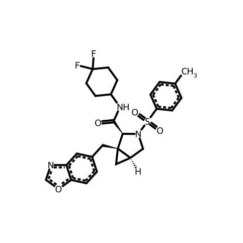 Cc1ccc(S(=O)(=O)N2C[C@H]3C[C@]3(Cc3ccc4ocnc4c3)[C@H]2C(=O)NC2CCC(F)(F)CC2)cc1